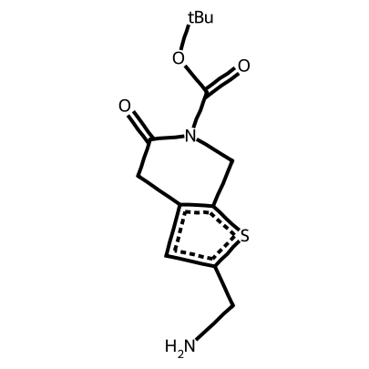 CC(C)(C)OC(=O)N1Cc2sc(CN)cc2CC1=O